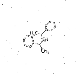 C[C@H](N[C@H](C)c1ccccc1)c1ccccc1